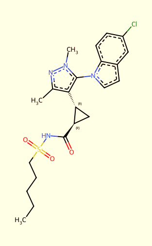 CCCCCS(=O)(=O)NC(=O)[C@@H]1C[C@H]1c1c(C)nn(C)c1-n1ccc2cc(Cl)ccc21